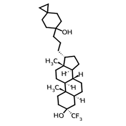 C[C@]12CC[C@@](O)(C(F)(F)F)C[C@@H]1CC[C@@H]1[C@@H]2CC[C@]2(C)[C@H](CCCC3(O)CCC4(CC3)CC4)CC[C@@H]12